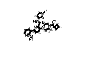 CCOc1ncccc1-c1ccc(N2CCN(C(=O)C3(C(F)(F)F)CCC3)C[C@H]2CC)c(CN[C@@H]2CCN(C)C2)n1